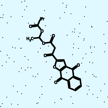 CC(OC(=O)CC(=O)c1cc2c(o1)C(=O)c1ccccc1C2=O)OC(=O)C(C)C